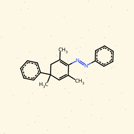 CC1=CC(C)(c2ccccc2)CC(C)=C1N=Nc1ccccc1